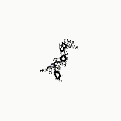 COc1cc2nccc(Oc3ccc(NC(=O)/C(=C/NCCO)C(=O)Nc4ccc(F)cc4)cc3)c2cc1OC